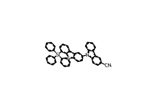 N#Cc1ccc2c(c1)c1ccccc1n2-c1ccc2sc3c([Si](c4ccccc4)(c4ccccc4)c4ccccc4)cccc3c2c1